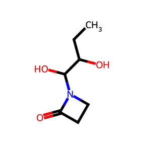 CCC(O)C(O)N1CCC1=O